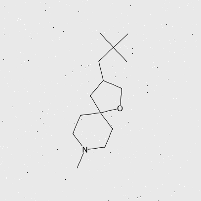 CN1CCC2(CC1)CC(CC(C)(C)C)CO2